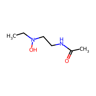 CCN(O)CCNC(C)=O